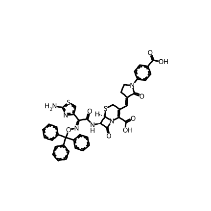 Nc1nc(C(=NOC(c2ccccc2)(c2ccccc2)c2ccccc2)C(=O)N[C@@H]2C(=O)N3C(C(=O)O)=C(C=C4CCN(c5ccc(C(=O)O)cc5)C4=O)CS[C@H]23)cs1